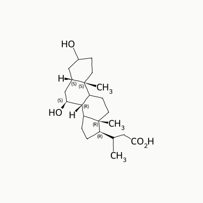 CC(CC(=O)O)[C@H]1CCC2[C@H]3C(CC[C@@]21C)[C@@]1(C)CCC(O)C[C@H]1C[C@@H]3O